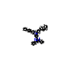 CC1(C)c2ccccc2-c2ccc(-c3ccc(N(c4ccc(-c5ccc(-c6ccccc6)cc5)cc4)c4ccc(-c5nc(-c6ccccc6)cc(-c6ccccc6)n5)cc4)cc3)cc21